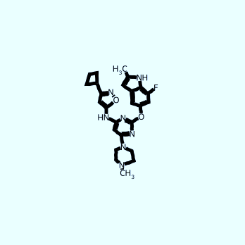 Cc1cc2cc(Oc3nc(Nc4cc(C5CCC5)no4)cc(N4CCN(C)CC4)n3)cc(F)c2[nH]1